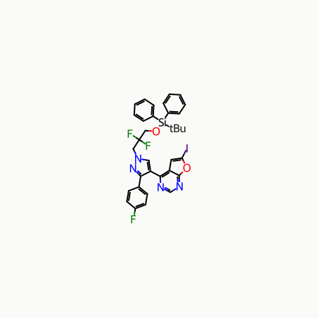 CC(C)(C)[Si](OCC(F)(F)Cn1cc(-c2ncnc3oc(I)cc23)c(-c2ccc(F)cc2)n1)(c1ccccc1)c1ccccc1